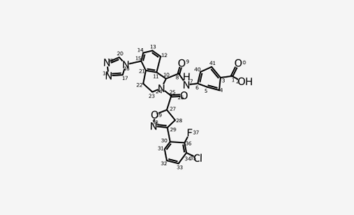 O=C(O)c1ccc(NC(=O)C2c3cccc(-n4cnnc4)c3CCN2C(=O)C2CC(c3cccc(Cl)c3F)=NO2)cc1